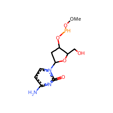 COOPOC1CC(n2ccc(N)nc2=O)OC1CO